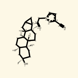 C[C@@]1(O)CC[C@H]2[C@H](CC[C@@H]3[C@@H]2CC[C@@]2(C)[C@H]3CC3C[C@]32C(=O)Cn2ccc(C#N)n2)C1